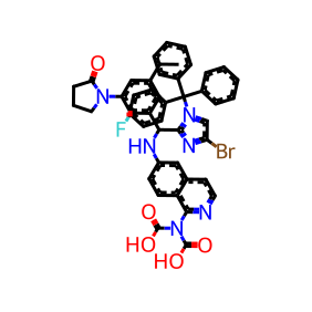 CCc1cc(C(Nc2ccc3c(N(C(=O)O)C(=O)O)nccc3c2)c2nc(Br)cn2C(c2ccccc2)(c2ccccc2)c2ccccc2)c(F)c(N2CCCC2=O)c1